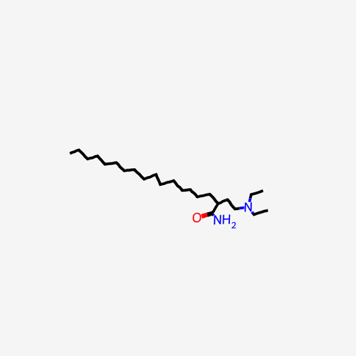 CCCCCCCCCCCCCCCCC(CCN(CC)CC)C(N)=O